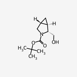 CC(C)(C)OC(=O)N1C[C@@H]2C[C@H]2[C@@H]1CO